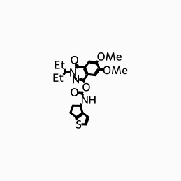 CCC(CC)n1nc(OC(=O)NC2CCc3sccc32)c2cc(OC)c(OC)cc2c1=O